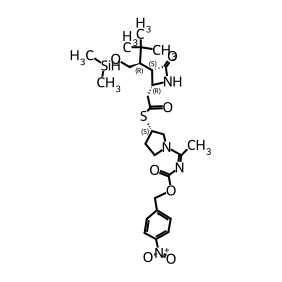 CC(=NC(=O)OCc1ccc([N+](=O)[O-])cc1)N1CC[C@H](SC(=O)C[C@H]2NC(=O)[C@H]2[C@@H](CO[SiH](C)C)C(C)(C)C)C1